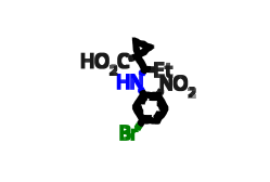 CCC(Nc1cc(Br)ccc1[N+](=O)[O-])C1(C(=O)O)CC1